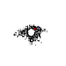 CC[C@H]1OC(=O)[C@H](C)[C@@H](O[C@H]2C[C@@](C)(OC)[C@@H](O)[C@H](C)O2)[C@H](C)[C@@H](O[C@@H]2O[C@H](C)C[C@H](N(C)CCc3cn(CCN(/C=C\C(C)=O)C(C)=O)nn3)[C@H]2O)[C@](C)(O)C[C@@H](C)CN(C)[C@H](C)[C@@H](O)[C@]1(C)O